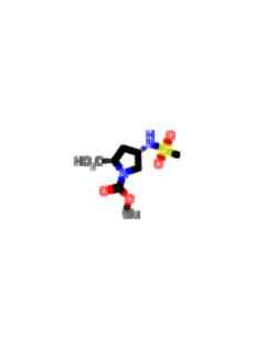 CC(C)(C)OC(=O)N1C[C@@H](NS(C)(=O)=O)C[C@@H]1C(=O)O